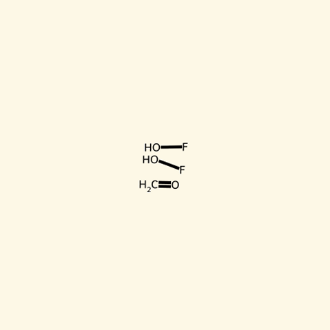 C=O.OF.OF